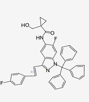 O=C(Nc1cc2c(/C=C/c3ccc(F)cc3)nn(C(c3ccccc3)(c3ccccc3)c3ccccc3)c2cc1F)C1(CO)CC1